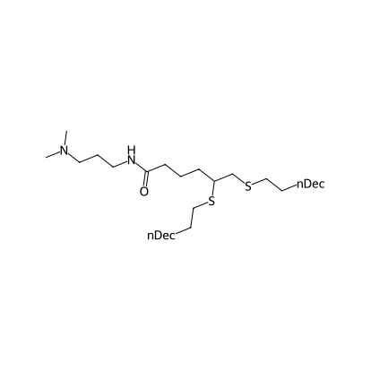 CCCCCCCCCCCCSCC(CCCC(=O)NCCCN(C)C)SCCCCCCCCCCCC